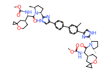 COC(=O)N[C@H](C(=O)N1[C@@H](C)CC[C@H]1c1nc(-c2ccc(-c3ccc(-c4c[nH]c([C@@H]5CC[C@H](C)N5C(=O)[C@@H](NC(=O)OC)[C@H]5CCOC6(CC6)C5)n4)c(C)c3)cc2)c[nH]1)[C@H]1CCOC2(CC2)C1